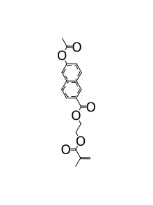 C=C(C)C(=O)OCCOC(=O)c1ccc2cc(OC(C)=O)ccc2c1